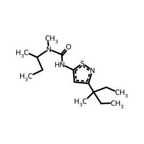 CCC(C)N(C)C(=O)Nc1cc(C(C)(CC)CC)ns1